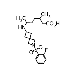 CC(CCC(C)NC1CC2(C1)CN(S(=O)(=O)c1ccccc1F)C2)CC(=O)O